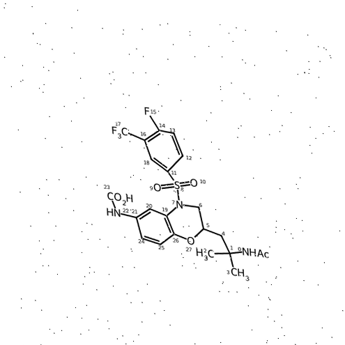 CC(=O)NC(C)(C)CC1CN(S(=O)(=O)c2ccc(F)c(C(F)(F)F)c2)c2cc(NC(=O)O)ccc2O1